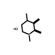 C=C1C(=C)N(C)CCC1C.Cl